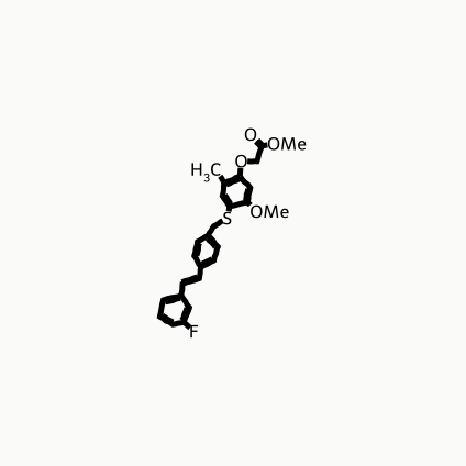 COC(=O)COc1cc(OC)c(SCc2ccc(C=Cc3cccc(F)c3)cc2)cc1C